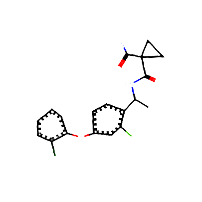 CC(NC(=O)C1(C(N)=O)CC1)c1ccc(Oc2ccccc2Cl)cc1F